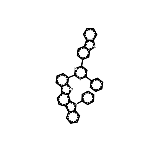 c1ccc(-c2cc(-c3ccc4c(c3)oc3ccccc34)nc(-c3cccc4c3oc3c4ccc4c5ccccc5n(-c5ccccc5)c43)n2)cc1